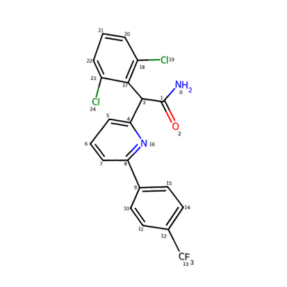 NC(=O)C(c1cccc(-c2ccc(C(F)(F)F)cc2)n1)c1c(Cl)cccc1Cl